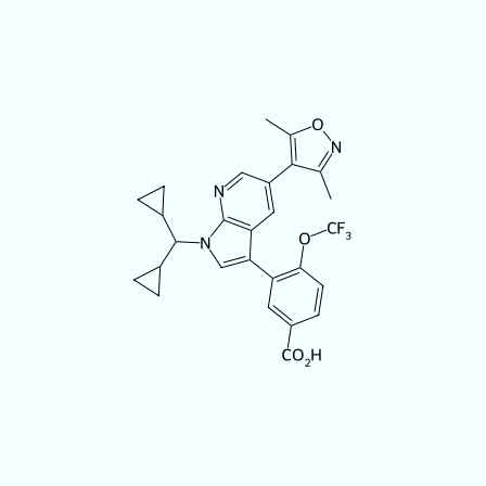 Cc1noc(C)c1-c1cnc2c(c1)c(-c1cc(C(=O)O)ccc1OC(F)(F)F)cn2C(C1CC1)C1CC1